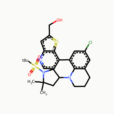 CC1(C)CC(N2CCCc3cc(Cl)cc(-c4ccnc5cc(CO)sc45)c32)CN1S(=O)(=O)C(C)(C)C